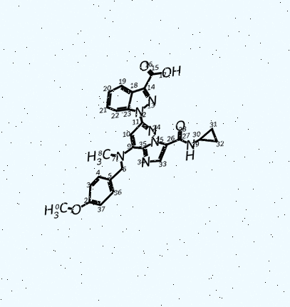 COc1ccc(CN(C)c2cc(-n3nc(C(=O)O)c4ccccc43)nn3c(C(=O)NC4CC4)cnc23)cc1